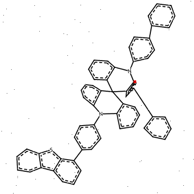 c1ccc(-c2ccc(N3c4ccccc4C4(c5ccccc5N(c5ccc(-c6cccc7c6sc6ccccc67)cc5)c5ccccc54)c4cc(-c5ccccc5)ccc43)cc2)cc1